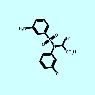 CC(C)C(C(=O)O)N(c1cccc(Cl)c1)S(=O)(=O)c1cccc(N)c1